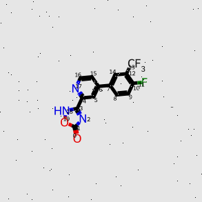 O=c1nc(-c2cc(-c3ccc(F)c(C(F)(F)F)c3)ccn2)[nH]o1